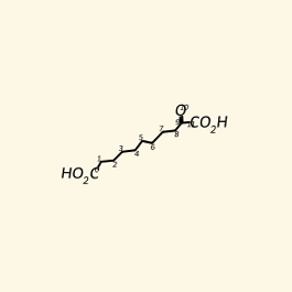 O=C(O)CCCCCCCCC(=O)C(=O)O